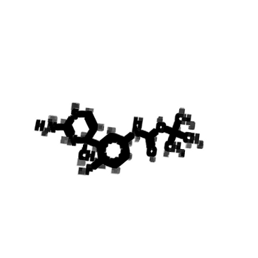 CC(C)(C)OC(=O)Nc1ccc(F)c([C@]2(C)C=CSC(N)=N2)c1